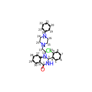 O=C1NC(c2ccccc2Cl)N(CCN2CCN(c3ccccc3)CC2)c2ccccc21